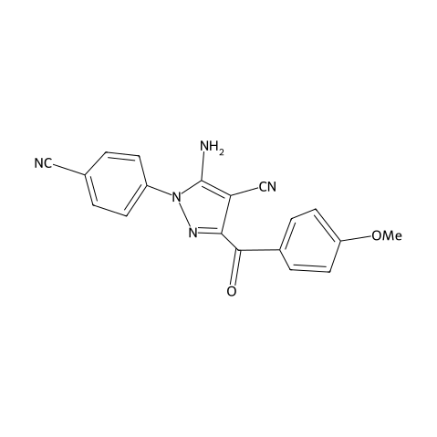 COc1ccc(C(=O)c2nn(-c3ccc(C#N)cc3)c(N)c2C#N)cc1